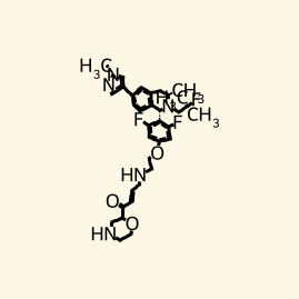 C[C@@H]1Cc2cc(-c3cnn(C)c3)ccc2[C@@H](c2c(F)cc(OCCNC/C=C/C(=O)C3CNCCO3)cc2F)N1CC(C)(C)F